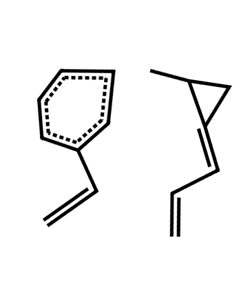 C=CC=C1CC1C.C=Cc1ccccc1